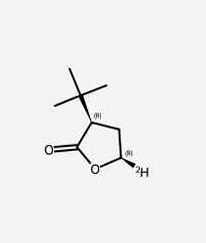 [2H][C@@H]1C[C@H](C(C)(C)C)C(=O)O1